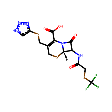 O=C(CSC(F)(F)F)NC1C(=O)N2C(C(=O)O)=C(CSc3c[nH]nn3)CS[C@@H]12